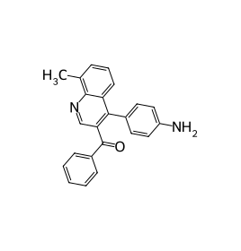 Cc1cccc2c(-c3ccc(N)cc3)c(C(=O)c3ccccc3)cnc12